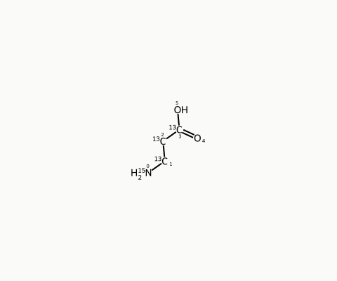 [15NH2][13CH2][13CH2][13C](=O)O